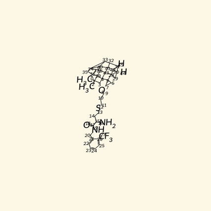 CC1(C)CC23C4(CC4OCCCSCCC(N)C(=O)NCc4ccccc4C(F)(F)F)C45C[C@@H]6[C@@H]7C8C9C%10%11CC%12C%10C%10(C%1212)C9%11C8(C674)C53%10